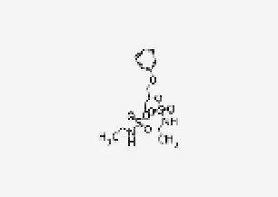 CCNS(=O)(=O)OCC(COc1ccccc1)OS(=O)(=O)NCC